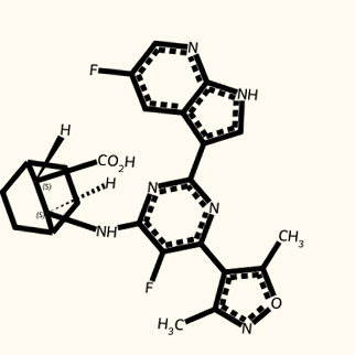 Cc1noc(C)c1-c1nc(-c2c[nH]c3ncc(F)cc23)nc(N[C@H]2C3CCC(CC3)[C@@H]2C(=O)O)c1F